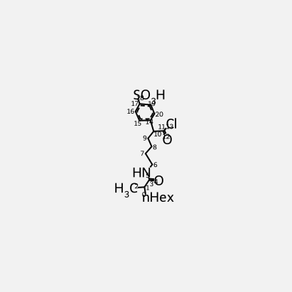 CCCCCCC(C)C(=O)NCCCCC(C(=O)Cl)c1ccc(S(=O)(=O)O)cc1